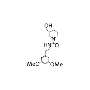 COc1cc(CCNC(=O)N2CCCC(CO)C2)cc(OC)c1